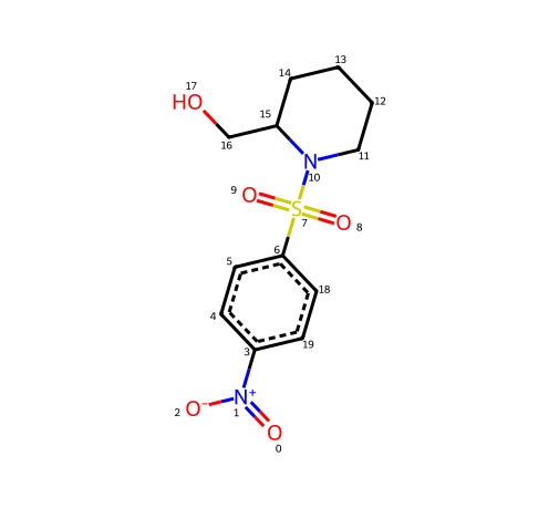 O=[N+]([O-])c1ccc(S(=O)(=O)N2CCCCC2CO)cc1